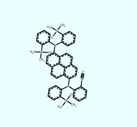 [C-]#[N+]c1ccccc1N(c1ccccc1[Si](C)(C)C)c1ccc2ccc3c(N(c4ccccc4[Si](C)(C)C)c4ccccc4[Si](C)(C)C)ccc4ccc1c2c43